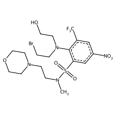 CN(CCN1CCOCC1)S(=O)(=O)c1cc([N+](=O)[O-])cc(C(F)(F)F)c1N(CCO)CCBr